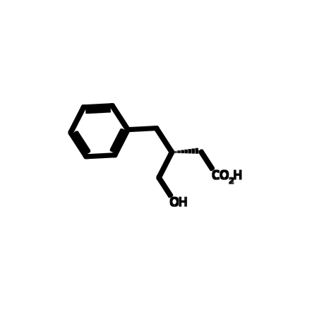 O=C(O)C[C@H](CO)Cc1ccccc1